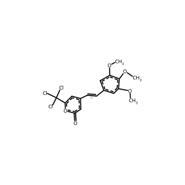 COc1cc(/C=C/c2cc(C(Cl)(Cl)Cl)oc(=O)c2)cc(OC)c1OC